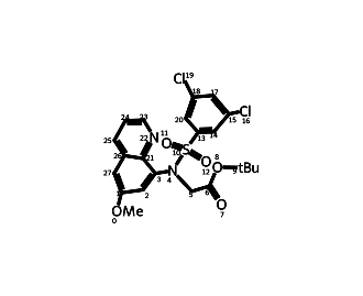 COc1cc(N(CC(=O)OC(C)(C)C)S(=O)(=O)c2cc(Cl)cc(Cl)c2)c2ncccc2c1